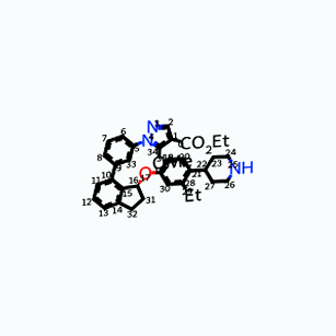 CCOC(=O)c1cnn(-c2cccc(-c3cccc4c3[C@@H](Oc3ccc(C5CCNCC5)c(CC)c3)CC4)c2)c1OC